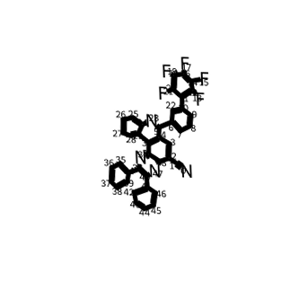 N#Cc1cc2c(-c3cccc(-c4c(F)c(F)c(F)c(F)c4F)c3)nc3ccccc3c2c2nc(-c3ccccc3)c(-c3ccccc3)nc12